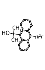 CCCc1c2ccccc2c(C(C)(C)O)c2ccccc12